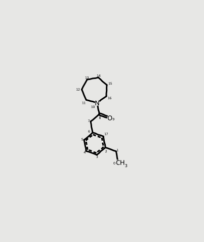 CCc1cccc(CC(=O)N2CCCCCC2)c1